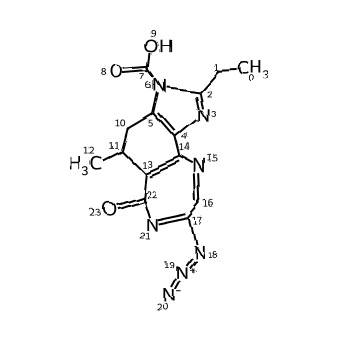 CCc1nc2c(n1C(=O)O)CC(C)c1c-2ncc(N=[N+]=[N-])nc1=O